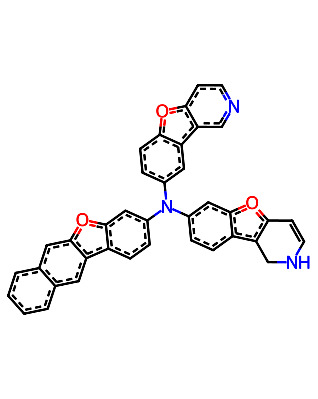 C1=Cc2oc3cc(N(c4ccc5c(c4)oc4cc6ccccc6cc45)c4ccc5oc6ccncc6c5c4)ccc3c2CN1